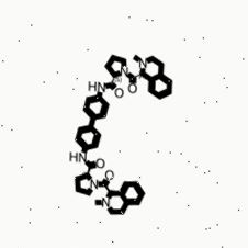 CN1CCc2ccccc2[C@@H]1C(=O)N1CCC[C@H]1C(=O)Nc1ccc(-c2ccc(NC(=O)[C@@H]3CCCN3C(=O)[C@H]3c4ccccc4CCN3C)cc2)cc1